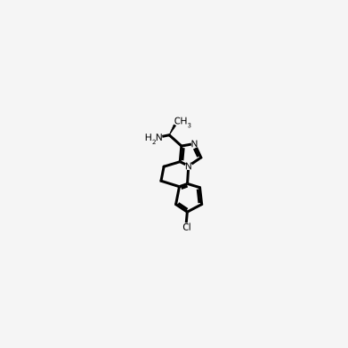 C[C@H](N)c1ncn2c1CCc1cc(Cl)ccc1-2